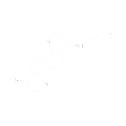 Cc1cc(N)c2ccc3c(ccc4c(NCCCN(C)C)cc(C)nc43)c2n1